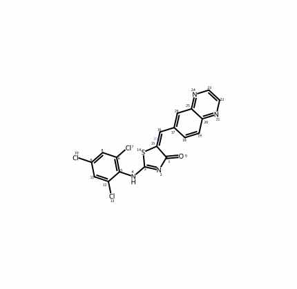 O=C1N=C(Nc2c(Cl)cc(Cl)cc2Cl)S/C1=C/c1ccc2nccnc2c1